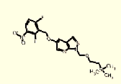 C[Si](C)(C)CCOCn1ncc2cc(OCc3c(F)ccc([N+](=O)[O-])c3F)cnc21